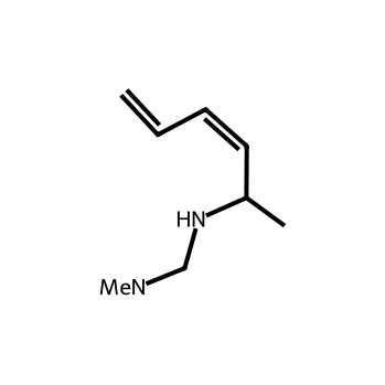 C=C/C=C\C(C)NCNC